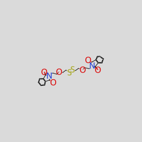 O=C1c2ccccc2C(=O)N1CCOCCSSCCOCCN1C(=O)c2ccccc2C1=O